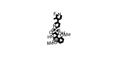 CCCCc1[nH]c(=O)c(S(=O)(=O)c2ccc(-c3ccnc(F)c3C)cn2)c(O)c1-c1c(OC)cccc1OC